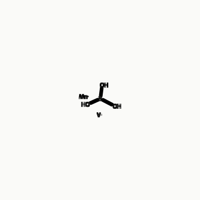 OB(O)O.[Mn].[V]